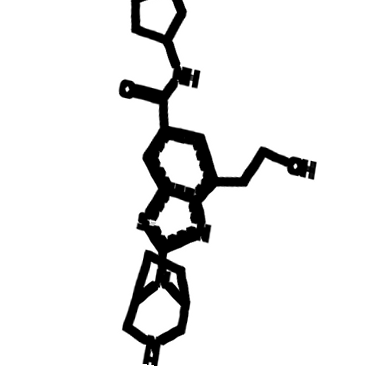 O=C(NC1CCCC1)c1cc(CCO)c2nc(N3C4CCC3CNC4)sc2c1